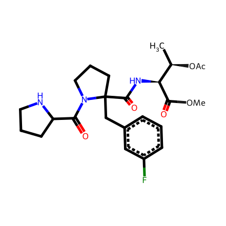 COC(=O)[C@@H](NC(=O)C1(Cc2cccc(F)c2)CCCN1C(=O)C1CCCN1)[C@@H](C)OC(C)=O